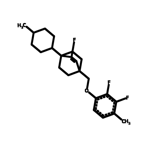 Cc1ccc(OCC23C=C(F)C(C4CCC(C)CC4)(CC2)CC3)c(F)c1F